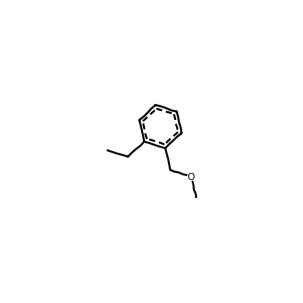 CCc1ccccc1COC